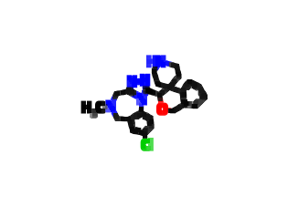 CN1Cc2cc(Cl)ccc2-n2c(nnc2[C@@H]2OCc3ccccc3C23CCNCC3)C1